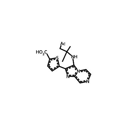 CC(=O)CC(C)(C)Nc1c(-c2ccc(C(=O)O)s2)nc2cnccn12